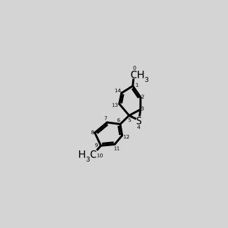 CC1=CC2SC2(c2ccc(C)cc2)C=C1